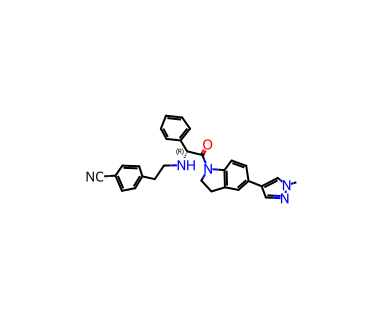 Cn1cc(-c2ccc3c(c2)CCN3C(=O)[C@H](NCCc2ccc(C#N)cc2)c2ccccc2)cn1